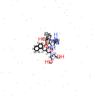 CC(C)C[C@H](NC(=O)[C@H](Cc1c[nH]cn1)NC(=O)C(CC(=O)N(CCO)CCO)Cc1cccc2ccccc12)C(O)(C(=O)O)C(C)C